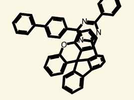 C1=C=CC(c2nc(-c3ccc(-c4ccccc4)cc3)nc(-c3cccc4c3C3(c5ccccc5Oc5ccccc53)c3ccccc3-4)n2)=CC=1